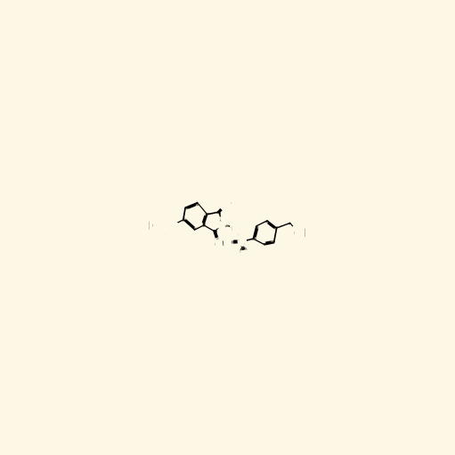 O=C(O)c1ccc2c(c1)C(=O)N(OS(=O)(=O)c1ccc(CO)cc1)C2=O